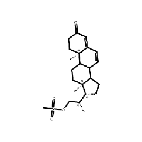 C[C@H](COS(C)(=O)=O)[C@H]1CCC2C3C=CC4=CC(=O)CC[C@]4(C)C3CC[C@@]21C